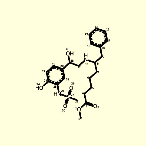 COC(=O)CCCCC(Cc1ccccc1)NCC(O)c1ccc(O)c(NS(C)(=O)=O)c1